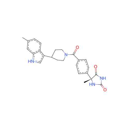 Cc1ccc2c(C3CCN(C(=O)c4ccc([C@@]5(C)NC(=O)NC5=O)cc4)CC3)c[nH]c2c1